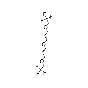 FC(F)(F)COCC=COC=CCOCC(F)(F)F